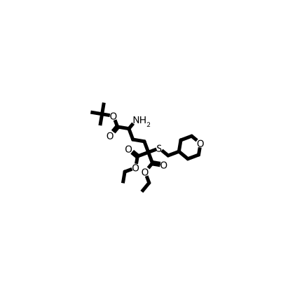 CCOC(=O)C(CCC(N)C(=O)OC(C)(C)C)(SCC1CCOCC1)C(=O)OCC